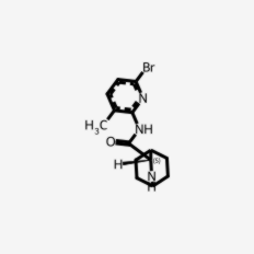 Cc1ccc(Br)nc1NC(=O)[C@H]1NC2CCC1CC2